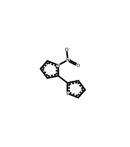 O=[N+]([O-])n1cccc1-c1cccs1